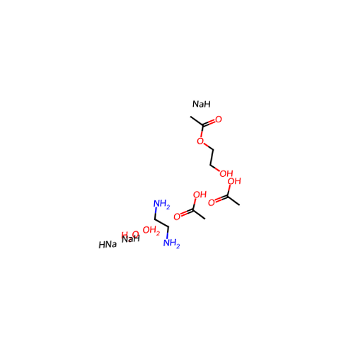 CC(=O)O.CC(=O)O.CC(=O)OCCO.NCCN.O.O.[NaH].[NaH].[NaH]